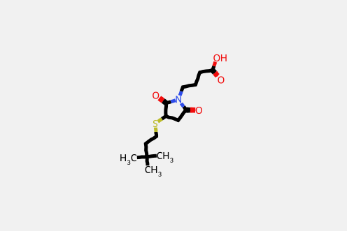 CC(C)(C)CCSC1CC(=O)N(CCCC(=O)O)C1=O